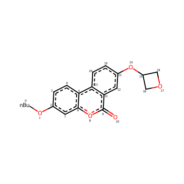 CCCCOc1ccc2c(c1)oc(=O)c1cc(OC3COC3)ccc12